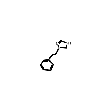 C1=NN(CCc2ccccc2)CN1